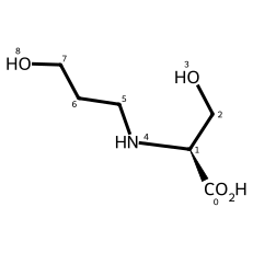 O=C(O)[C@H](CO)NCCCO